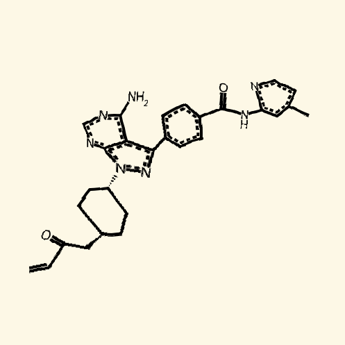 C=CC(=O)C[C@H]1CC[C@H](n2nc(-c3ccc(C(=O)Nc4cc(C)ccn4)cc3)c3c(N)ncnc32)CC1